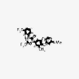 CNc1cc(Oc2c(C)cc(N(OC(=O)C(F)(F)F)C(=O)Nc3cccc(C(F)(F)F)c3)cc2C)ncn1